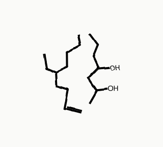 C=CCCC(CC)CCCC.CCCC(O)CC(C)O